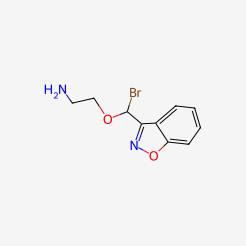 NCCOC(Br)c1noc2ccccc12